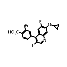 CC(C)c1cc(-c2c(F)cnc3cc(OC4CC4)c(F)cc23)ccc1C(=O)O